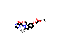 COC(=O)COc1ccc(CC(C)N2CCOC(O)(c3cnccn3)C2)cc1